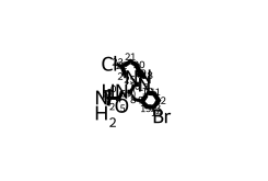 CC(C)(N)C(=O)N[C@H](Cc1cccc(Br)c1)c1nnc2ccc(Cl)cn12